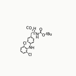 CC(C)(C)OC(=O)N[C@@H](Cc1ccc(Nc2c(Cl)cccc2Cl)cc1)C(=O)O